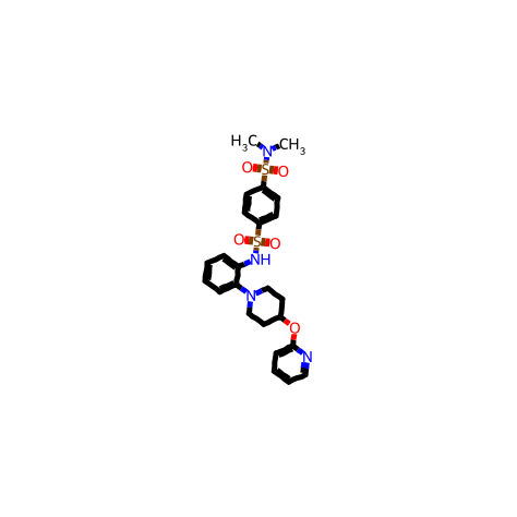 CN(C)S(=O)(=O)c1ccc(S(=O)(=O)Nc2ccccc2N2CCC(Oc3ccccn3)CC2)cc1